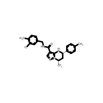 Cc1ccc([C@@H]2C[C@H](C(F)(F)F)n3ncc(C(=O)NCc4ccc(C)c(Cl)c4)c3N2)cc1